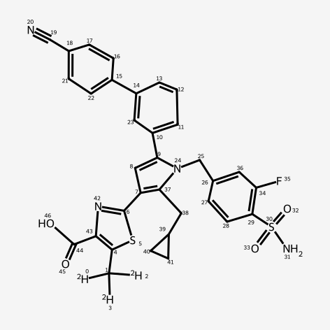 [2H]C([2H])([2H])c1sc(-c2cc(-c3cccc(-c4ccc(C#N)cc4)c3)n(Cc3ccc(S(N)(=O)=O)c(F)c3)c2CC2CC2)nc1C(=O)O